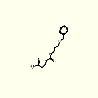 C[C@@H](C[CH]C(=O)NCCCOCc1ccccc1)C(N)=O